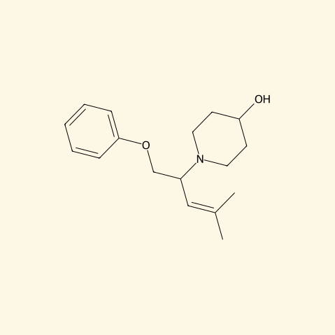 CC(C)=CC(COc1ccccc1)N1CCC(O)CC1